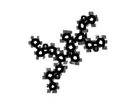 c1ccc(-c2cccc3c2oc2ccc(-c4cc(-c5ccc6oc7c(-c8ccccc8)cccc7c6c5)cc(-n5c6ccccc6c6cc7c(cc65)c5ccccc5n7-c5cc(-c6ccc7oc8ccccc8c7c6)nc(-c6ccc7oc8ccccc8c7c6)c5)c4)cc23)cc1